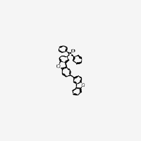 O=P(c1ccccc1)(c1ccccc1)c1ccc2oc3ccc(-c4ccc5oc6ccccc6c5c4)cc3c2c1